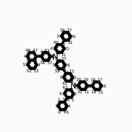 c1ccc(-c2ccc(N(c3ccc(-c4ccccc4)cc3)c3ccc(-c4ccc(N(c5ccc(-c6ccccc6)cc5)c5ccc(-c6cccc7ccccc67)cc5)cc4)cc3)cc2)cc1